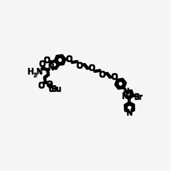 CC(C)(C)OC(=O)CCC(C(N)=O)N1Cc2cc(OCCOCCOCCOCCOc3ccc(-n4cc(Br)c(-c5ccncc5)n4)cc3)ccc2C1=O